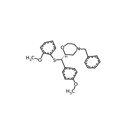 COc1ccc(C(Sc2ccccc2OC)[C@H]2CN(Cc3ccccc3)CCO2)cc1